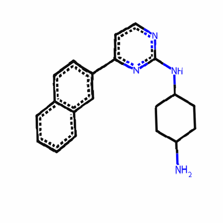 NC1CCC(Nc2nccc(-c3ccc4ccccc4c3)n2)CC1